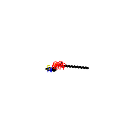 CCCCCCCCCCCCCCCCCCOCC(COP(=O)(O)Oc1cccc(CN2C=C(C)SC2)c1)OC